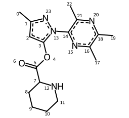 Cc1cc(OC(=O)C2CCCCN2)n(-c2nc(C)c(C)nc2C)n1